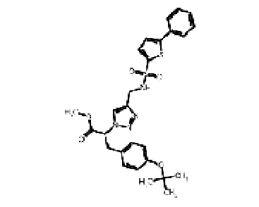 COC(=O)[C@H](Cc1ccc(OC(C)(C)C)cc1)n1cc(CNS(=O)(=O)c2ccc(-c3ccccc3)s2)nn1